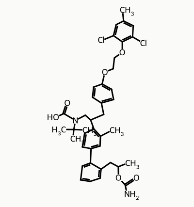 Cc1cc(Cl)c(OCCOc2ccc(CC(CN(C(=O)O)C(C)(C)C)c3ccc(-c4ccccc4CC(C)OC(N)=O)cc3C)cc2)c(Cl)c1